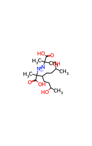 CC(O)CCC(CCC(C)O)C(C)(/N=N/C(C)(C)C(=O)O)C(=O)O